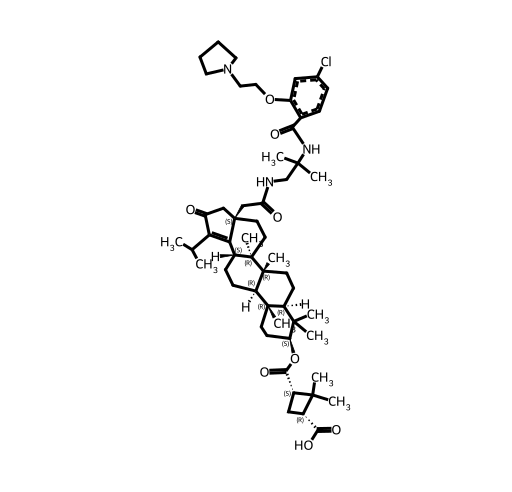 CC(C)C1=C2[C@H]3CC[C@@H]4[C@@]5(C)CC[C@H](OC(=O)[C@H]6C[C@@H](C(=O)O)C6(C)C)C(C)(C)[C@@H]5CC[C@@]4(C)[C@]3(C)CC[C@@]2(CC(=O)NCC(C)(C)NC(=O)c2ccc(Cl)cc2OCCN2CCCC2)CC1=O